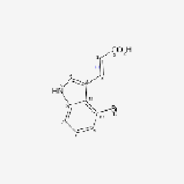 O=C(O)/C=C/c1c[nH]c2cccc(Br)c12